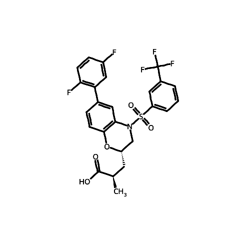 C[C@H](C[C@H]1CN(S(=O)(=O)c2cccc(C(F)(F)F)c2)c2cc(-c3cc(F)ccc3F)ccc2O1)C(=O)O